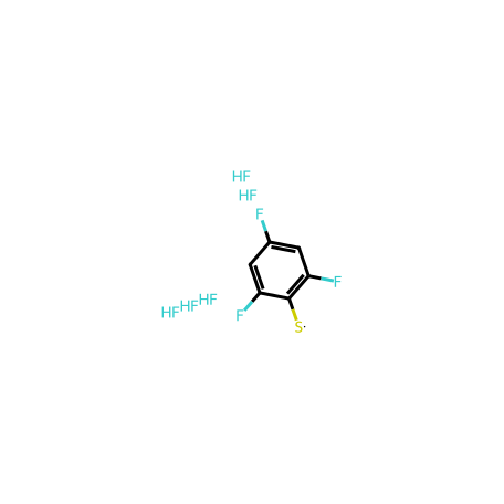 F.F.F.F.F.Fc1cc(F)c([S])c(F)c1